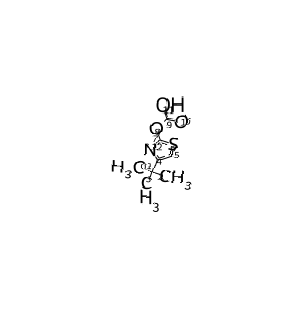 CC(C)(C)c1csc(OC(=O)O)n1